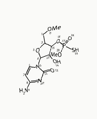 COCC1OC(n2ccc(N)nc2=O)C(O)C1OP(=O)(S)OC